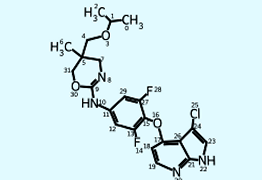 CC(C)OCC1(C)CN=C(Nc2cc(F)c(Oc3ccnc4[nH]cc(Cl)c34)c(F)c2)OC1